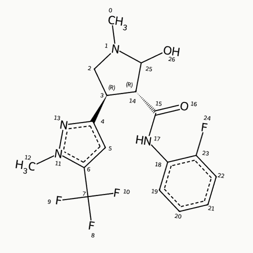 CN1C[C@H](c2cc(C(F)(F)F)n(C)n2)[C@@H](C(=O)Nc2ccccc2F)C1O